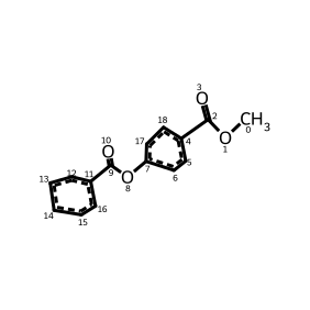 COC(=O)c1ccc(OC(=O)c2ccccc2)cc1